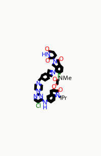 CNC(=O)COc1cc2cc(Nc3nc(N4CCN(CC5CCC6(CC5)CN(c5c(F)ccc7c5CN(C5CCC(=O)NC5=O)C7=O)C6)CC4)ncc3Cl)ccc2n(C(C)C)c1=O